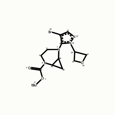 CC(C)(C)OC(=O)N1CCN(c2c(Br)cnn2C2COC2)C2CC21